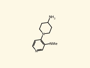 CNc1cnccc1N1CCC(N)CC1